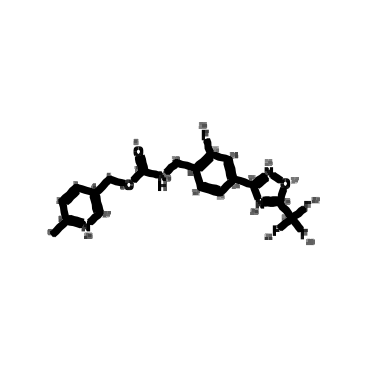 Cc1ccc(COC(=O)NCc2ccc(-c3noc(C(F)(F)F)n3)cc2F)cn1